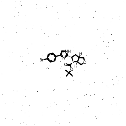 CC(C)(C)OC(=O)N1[C@H](c2nc(-c3ccc(Br)cc3)c[nH]2)C[C@@H]2COC[C@@H]21